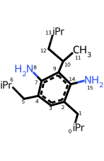 CC(C)Cc1cc(CC(C)C)c(N)c(C(C)CC(C)C)c1N